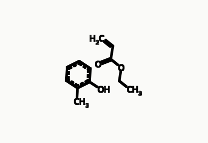 C=CC(=O)OCC.Cc1ccccc1O